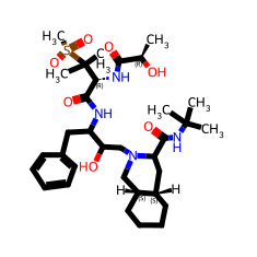 C[C@@H](O)C(=O)N[C@H](C(=O)NC(Cc1ccccc1)C(O)CN1C[C@H]2CCCC[C@H]2CC1C(=O)NC(C)(C)C)C(C)(C)S(C)(=O)=O